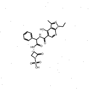 CCn1nc(C)c2c(O)c(C(=O)NC(C(=O)N[C@H]3CN(S(=O)(=O)O)C3=O)c3ccccc3)cnc21